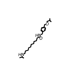 CC(C)COCc1ccc(CNC(=O)CCCCCCCCCCNC(C)C)cc1